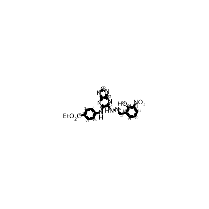 CCOC(=O)c1ccc(Nc2nc3nonc3nc2NN=Cc2cccc([N+](=O)[O-])c2O)cc1